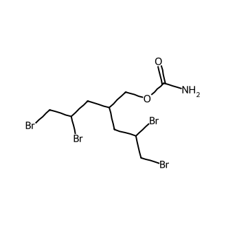 NC(=O)OCC(CC(Br)CBr)CC(Br)CBr